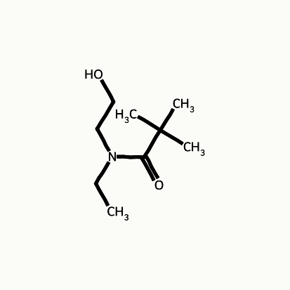 CCN(CCO)C(=O)C(C)(C)C